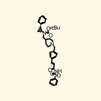 CC(C)(C)OC(=O)N(CC1CCN(Cc2ccc(/C=C/C(=O)NS(=O)(=O)c3ccccc3)cc2)CC1)[C@@H]1C[C@H]1c1ccccc1